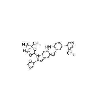 Cn1cncc1-c1ccc(Nc2cc3c(cn2)cc(-c2cnco2)n3C(=O)OC(C)(C)C)c(Cl)c1